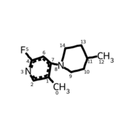 Cc1cnc(F)cc1N1CCC(C)CC1